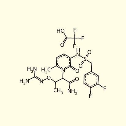 Cc1ccc(NS(=O)(=O)Cc2ccc(F)c(F)c2)c(=O)n1C(C(N)=O)C(C)ON=C(N)N.O=C(O)C(F)(F)F